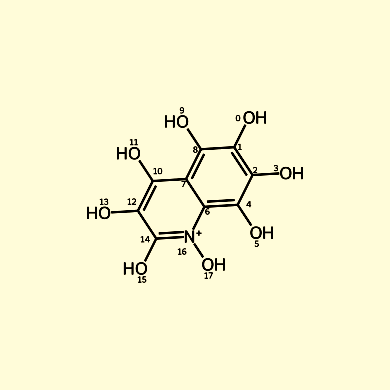 Oc1c(O)c(O)c2c(c1O)c(O)c(O)c(O)[n+]2O